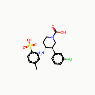 Cc1ccc(S(=O)(=O)O)cc1.N[C@@H]1CCN(C(=O)O)C[C@H]1c1cccc(Cl)c1